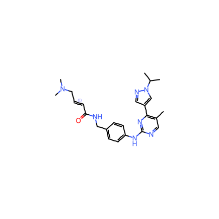 Cc1cnc(Nc2ccc(CNC(=O)/C=C/CN(C)C)cc2)nc1-c1cnn(C(C)C)c1